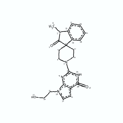 CN1C(=O)C2(CCN(c3nc4c(ccn4CCO)c(=O)[nH]3)CC2)c2ccccc21